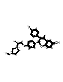 CC1=C(c2ccc(F)cc2)[C@H](c2ccc(OC[C@H](C)N3CC[C@@H](CF)C3)cc2)Oc2ccc(O)cc21